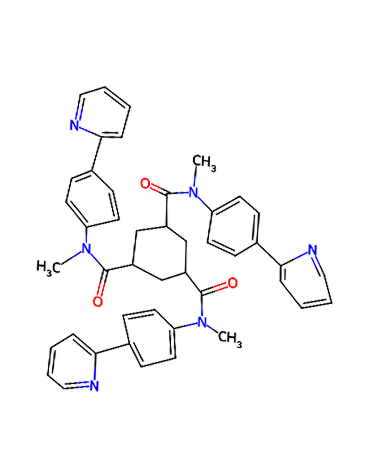 CN(C(=O)C1CC(C(=O)N(C)c2ccc(-c3ccccn3)cc2)CC(C(=O)N(C)c2ccc(-c3ccccn3)cc2)C1)c1ccc(-c2ccccn2)cc1